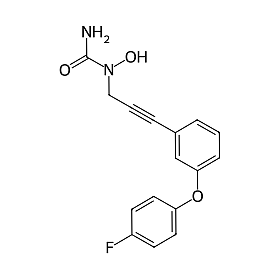 NC(=O)N(O)CC#Cc1cccc(Oc2ccc(F)cc2)c1